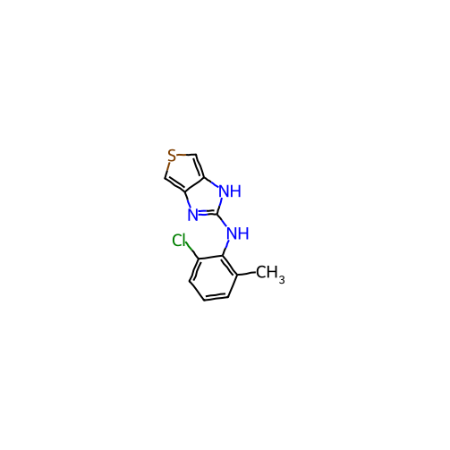 Cc1cccc(Cl)c1Nc1nc2cscc2[nH]1